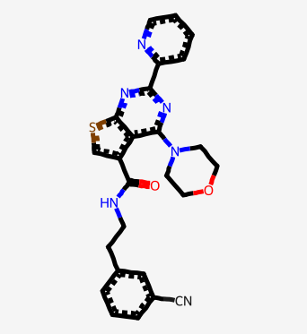 N#Cc1cccc(CCNC(=O)c2csc3nc(-c4ccccn4)nc(N4CCOCC4)c23)c1